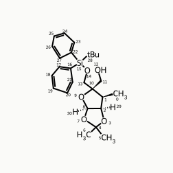 C[C@H]1[C@H]2OC(C)(C)O[C@H]2O[C@]1(CO)CO[Si](c1ccccc1)(c1ccccc1)C(C)(C)C